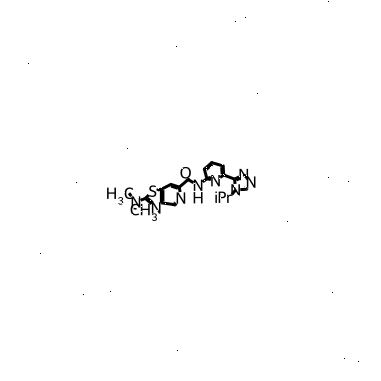 CC(C)n1cnnc1-c1cccc(NC(=O)c2cc3sc(N(C)C)nc3cn2)n1